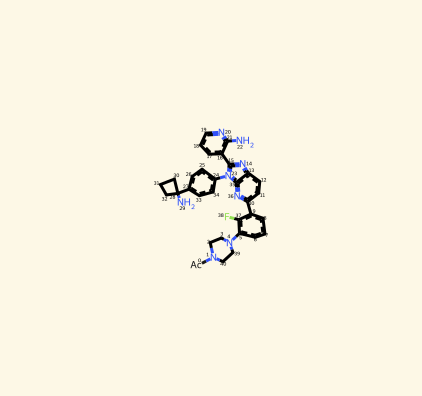 CC(=O)N1CCN(c2cccc(-c3ccc4nc(-c5cccnc5N)n(-c5ccc(C6(N)CCC6)cc5)c4n3)c2F)CC1